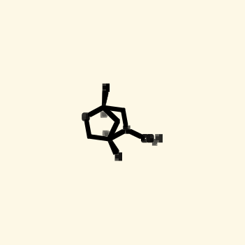 O=C(O)N1C[C@@H]2C[C@H]1CO2